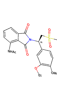 CCOc1cc([C@H](CS(C)(=O)=O)N2C(=O)c3cccc(NC(C)=O)c3C2=O)ccc1OC